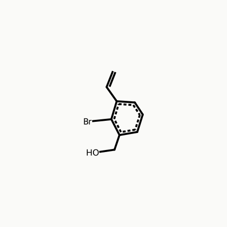 C=Cc1cccc(CO)c1Br